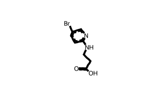 O=C(O)CCNc1ccc(Br)cn1